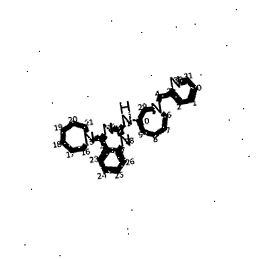 c1ccc(CN2CCCC[C@H](Nc3nc(N4CCCCCC4)c4ccccc4n3)C2)nc1